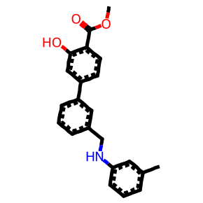 COC(=O)c1ccc(-c2cccc(CNc3cccc(C)c3)c2)cc1O